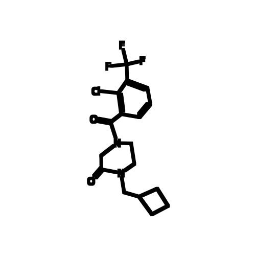 O=C1CN(C(=O)c2cccc(C(F)(F)F)c2Cl)CCN1CC1CCC1